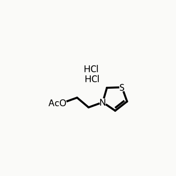 CC(=O)OCCN1C=CSC1.Cl.Cl